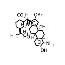 CC(=O)O[C@H]1C[C@@]2(C)[C@@](N)(C[C@@H](O)[C@H]3[C@@]4(C)CC[C@@H](O)[C@@H](N)[C@@H]4CC[C@@]32C)/C1=C(/C(=O)O)C1CCCC(=C(C)C)C1